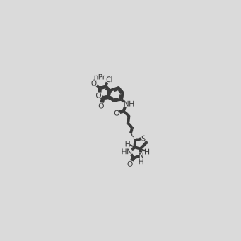 CCCOc1oc(=O)c2cc(NC(=O)CCCC[C@@H]3SC[C@@H]4NC(=O)N[C@@H]43)ccc2c1Cl